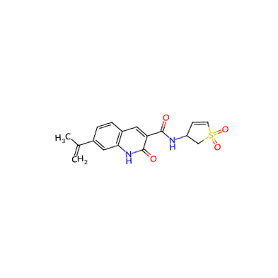 C=C(C)c1ccc2cc(C(=O)NC3C=CS(=O)(=O)C3)c(=O)[nH]c2c1